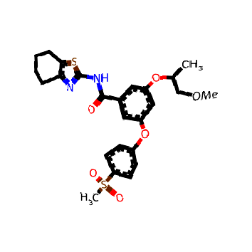 COCC(C)Oc1cc(Oc2ccc(S(C)(=O)=O)cc2)cc(C(=O)Nc2nc3c(s2)CCCC3)c1